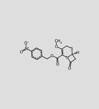 COC1=C(C(=O)OCc2ccc([N+](=O)[O-])cc2)N2C(=O)C[C@H]2SC1